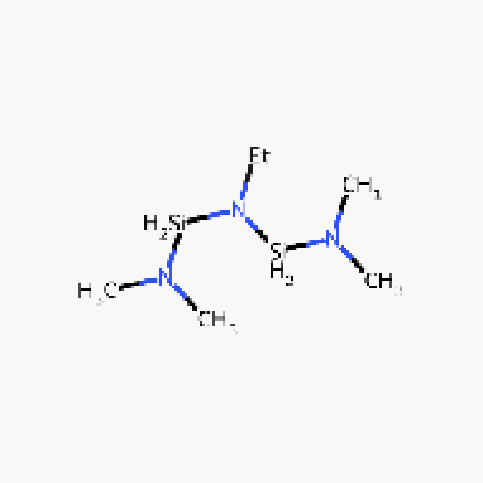 CCN([SiH2]N(C)C)[SiH2]N(C)C